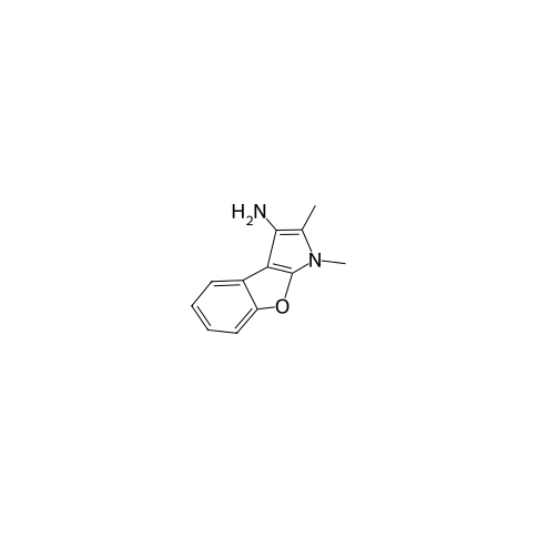 Cc1c(N)c2c3ccccc3oc2n1C